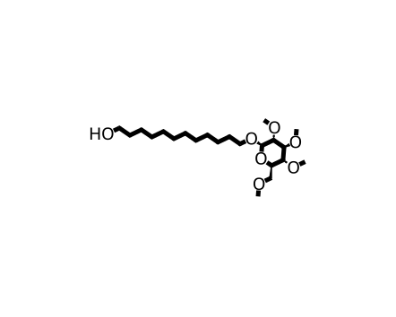 COC[C@H]1O[C@@H](OCCCCCCCCCCCCO)[C@H](OC)[C@@H](OC)[C@@H]1OC